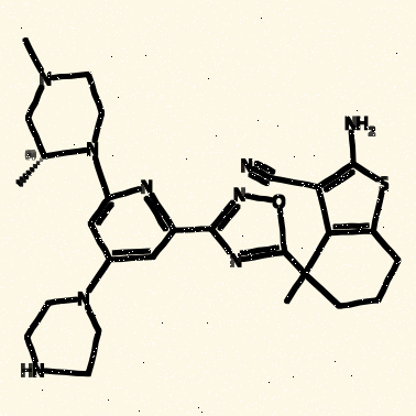 C[C@@H]1CN(C)CCN1c1cc(N2CCNCC2)cc(-c2noc(C3(C)CCCc4sc(N)c(C#N)c43)n2)n1